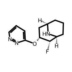 F[C@H]1[C@@H]2CCC[C@H](C[C@H]1Oc1cccnn1)N2